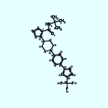 CC(C)(C)NC(=O)c1cncn1C1CCN(c2ccc(-c3nnc(C(F)(F)F)o3)cn2)CC1